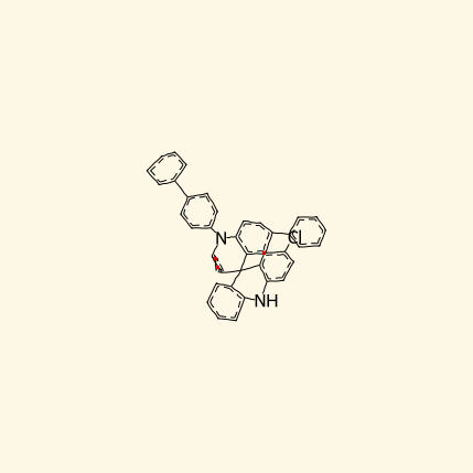 Clc1ccc2c(c1)C1(c3ccccc3N2)c2ccccc2N(c2ccc(-c3ccccc3)cc2)c2ccc(-c3ccccc3)cc21